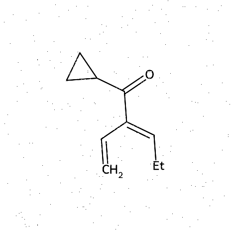 C=C/C(=C\CC)C(=O)C1CC1